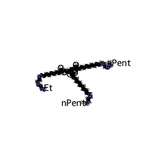 CC/C=C\C/C=C\C/C=C\CCCCCCCC(=O)OC[C@H](COC(=O)CCCCCCCCC/C=C\C/C=C\CCCCC)OC(=O)CCCCCCCCC/C=C\C/C=C\CCCCC